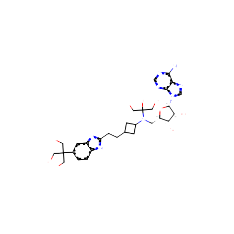 Nc1ncnc2c1ncn2[C@@H]1O[C@H](CN(C2CC(CCc3nc4cc(C(CO)(CO)CO)ccc4[nH]3)C2)C(O)(CO)CO)[C@@H](O)[C@H]1O